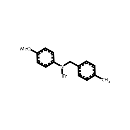 COc1ccc(N(Cc2ccc(C)cc2)C(C)C)cc1